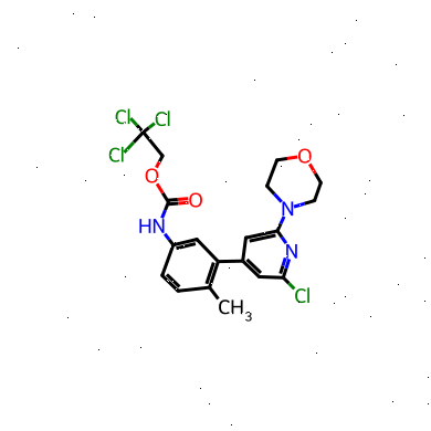 Cc1ccc(NC(=O)OCC(Cl)(Cl)Cl)cc1-c1cc(Cl)nc(N2CCOCC2)c1